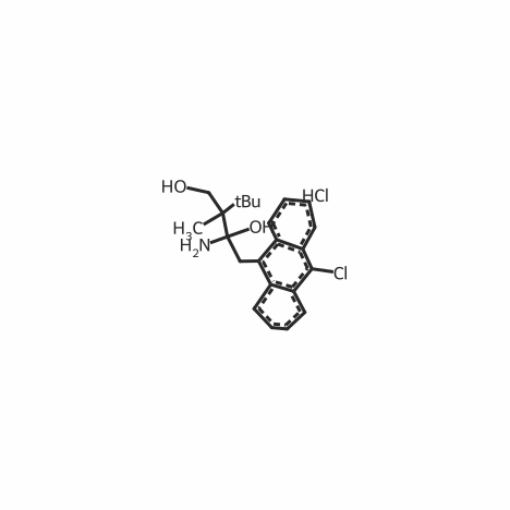 CC(C)(C)C(C)(CO)C(N)(O)Cc1c2ccccc2c(Cl)c2ccccc12.Cl